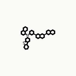 c1cc(-c2ccc3ccc(-c4ccc5ccccc5c4)cc3c2)cc(N(c2ccc3c(c2)sc2ccccc23)c2cccc3ccccc23)c1